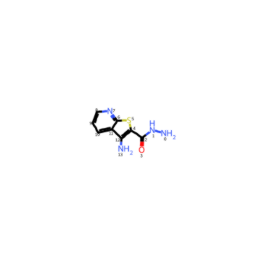 NNC(=O)c1sc2ncccc2c1N